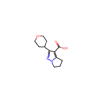 O=C(O)c1c(C2CCOCC2)nn2c1CCC2